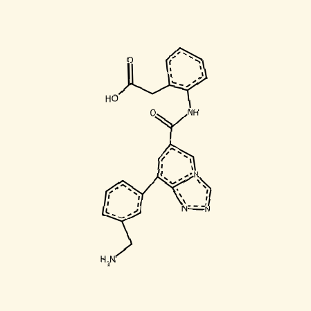 NCc1cccc(-c2cc(C(=O)Nc3ccccc3CC(=O)O)cn3cnnc23)c1